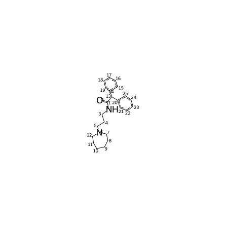 O=C(NCCCN1CCCCCC1)C(c1ccccc1)c1ccccc1